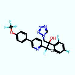 CC(F)(c1ccc(-c2ccc(OC(F)(F)F)cc2)cn1)C(O)(Cn1cnnn1)c1ccc(F)cc1F